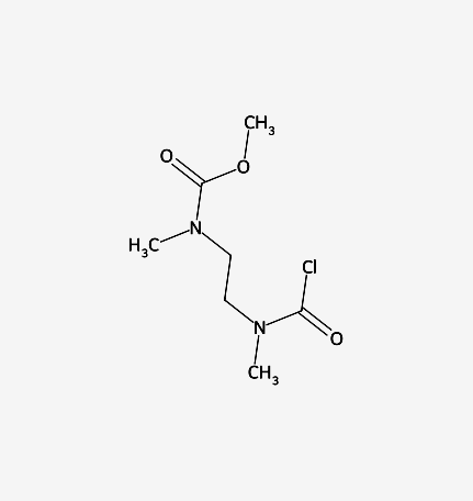 COC(=O)N(C)CCN(C)C(=O)Cl